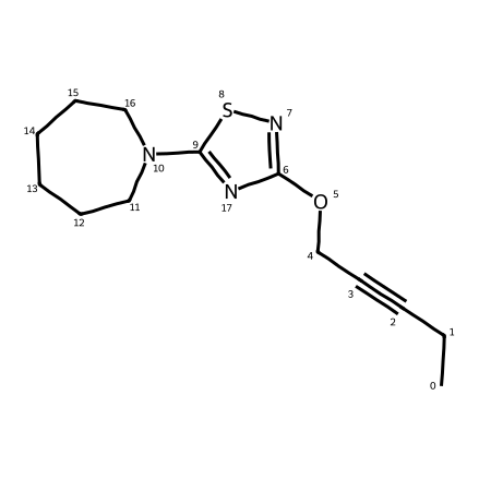 CCC#CCOc1nsc(N2CCCCCC2)n1